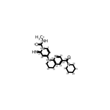 CNC(=O)n1ccc(N2CCCc3cc(C(=O)N4CCCCC4)cnc32)cc1=N